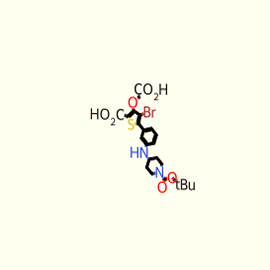 CC(C)(C)OC(=O)N1CCC(Nc2cccc(-c3sc(C(=O)O)c(OCC(=O)O)c3Br)c2)CC1